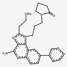 COCCc1nc2c(N)nc3ccc(-c4cccnc4)cc3c2n1CCCN1CCCC1=O